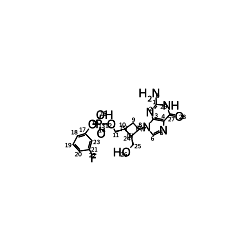 Nc1nc2c(ncn2[C@@H]2C[C@H](COP(=O)(O)Oc3cccc(F)c3)[C@@H]2CO)c(=O)[nH]1